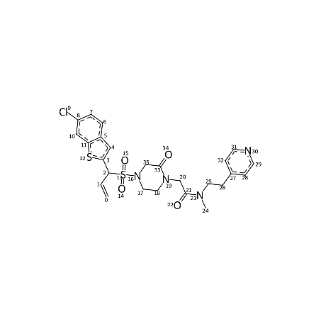 C=CC(c1cc2ccc(Cl)cc2s1)S(=O)(=O)N1CCN(CC(=O)N(C)CCc2ccncc2)C(=O)C1